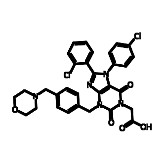 O=C(O)Cn1c(=O)c2c(nc(-c3ccccc3Cl)n2-c2ccc(Cl)cc2)n(Cc2ccc(CN3CCOCC3)cc2)c1=O